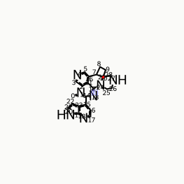 C=Nc1cncc(C2CCC2)c1/C(=N\Cc1ccnc2[nH]ccc12)N1CCNCC1